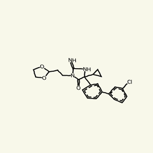 N=C1NC(c2cccc(-c3cccc(Cl)c3)c2)(C2CC2)C(=O)N1CCC1OCCO1